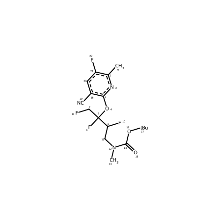 Cc1nc(OC(F)(CF)C(F)CN(C)C(=O)OC(C)(C)C)c(C#N)cc1F